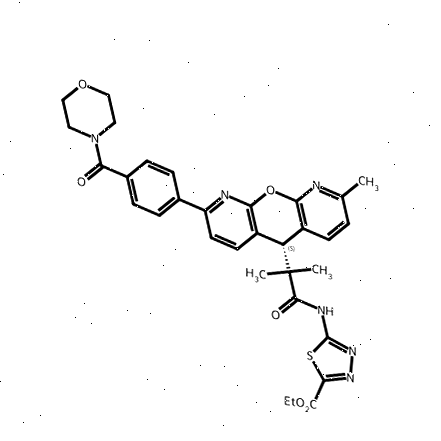 CCOC(=O)c1nnc(NC(=O)C(C)(C)[C@H]2c3ccc(C)nc3Oc3nc(-c4ccc(C(=O)N5CCOCC5)cc4)ccc32)s1